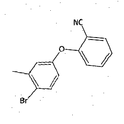 Cc1cc(Oc2ccccc2C#N)ccc1Br